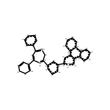 C1=CC(C2=CC(c3ccccc3)=NCC(c3cccc(-c4ccc5c6ccccc6c6ccccc6c5c4)c3)=N2)=CCC1